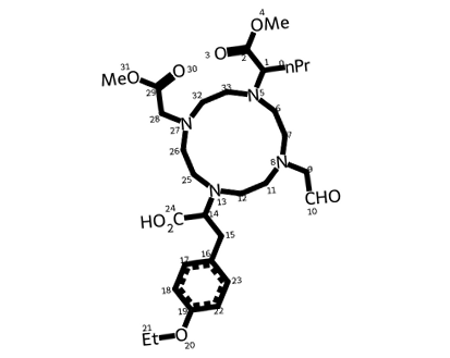 CCCC(C(=O)OC)N1CCN(CC=O)CCN(C(Cc2ccc(OCC)cc2)C(=O)O)CCN(CC(=O)OC)CC1